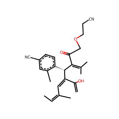 C=C(O)/C(=C\C(C)=C/C)[C@@H](C(C(=O)COCCC#N)=C(C)C)c1ccc(C#N)cc1C